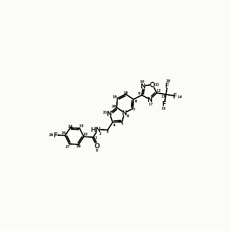 O=C(NCc1cn2cc(-c3noc(C(F)(F)F)n3)ccc2n1)c1ccc(F)cc1